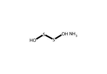 N.OSSO